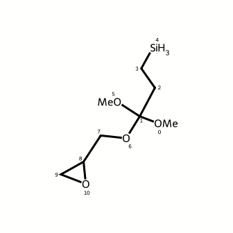 COC(CC[SiH3])(OC)OCC1CO1